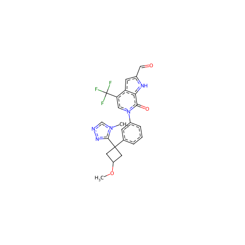 COC1CC(c2cccc(-n3cc(C(F)(F)F)c4cc(C=O)[nH]c4c3=O)c2)(c2nncn2C)C1